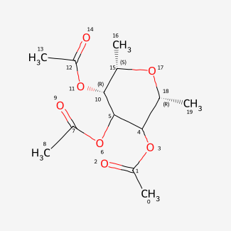 CC(=O)OC1C(OC(C)=O)[C@H](OC(C)=O)[C@H](C)O[C@@H]1C